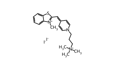 C[n+]1c(C=C2C=CN(CCC[N+](C)(C)C)C=C2)sc2ccccc21.[I-].[I-]